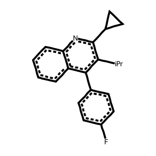 CC(C)c1c(C2CC2)nc2ccccc2c1-c1ccc(F)cc1